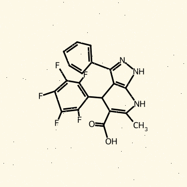 CC1=C(C(=O)O)C(c2c(F)c(F)c(F)c(F)c2F)c2c(-c3ccccc3)n[nH]c2N1